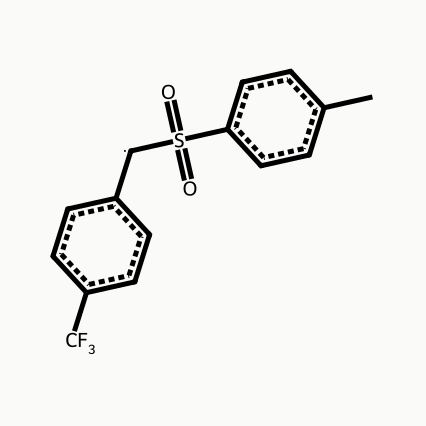 Cc1ccc(S(=O)(=O)[CH]c2ccc(C(F)(F)F)cc2)cc1